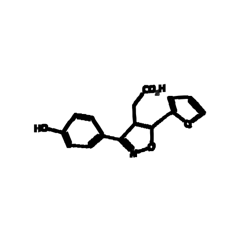 O=C(O)CC1C(c2ccc(O)cc2)=NOC1c1ccco1